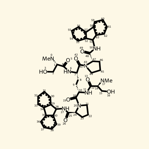 CN[C@@H](CO)C(=O)N[C@@H](CC[C@H](NC(=O)[C@H](CO)NC)C(=O)N1CCC[C@H]1C(=O)NC1c2ccccc2-c2ccccc21)C(=O)N1CCC[C@H]1C(=O)NC1c2ccccc2-c2ccccc21